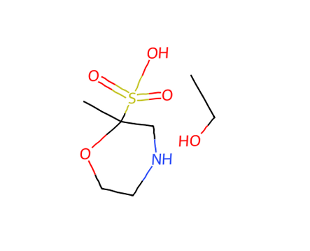 CC1(S(=O)(=O)O)CNCCO1.CCO